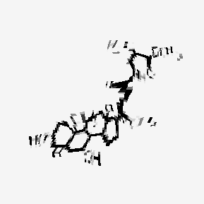 COC(=O)C(C)CNC(=O)CCC(C)C1CCC2C3C(CC[C@]12C)[C@@]1(C)CC[C@@H](O)C[C@H]1C[C@@H]3O